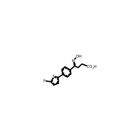 O=C(O)CCC(=NO)c1ccc(-c2ccc(F)s2)cc1